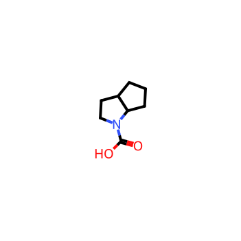 O=C(O)N1CCC2CCCC21